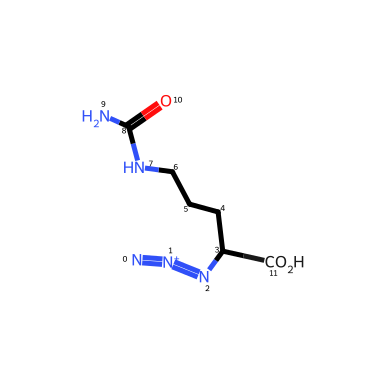 [N-]=[N+]=NC(CCCNC(N)=O)C(=O)O